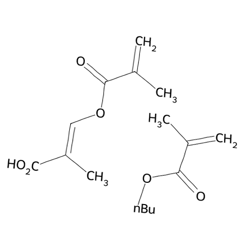 C=C(C)C(=O)OC=C(C)C(=O)O.C=C(C)C(=O)OCCCC